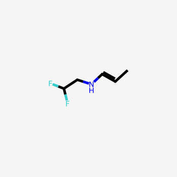 C/C=C/NCC(F)F